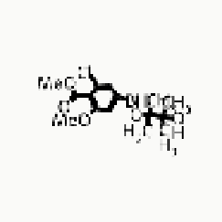 COC(=O)c1c(Cl)cc(BOC(C)(C)C(C)(C)O)cc1OC